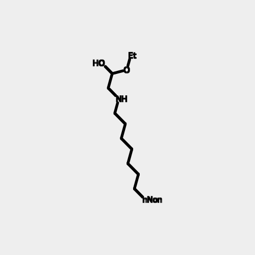 CCCCCCCCCCCCCCCCNCC(O)OCC